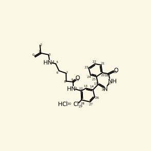 C=C(C)CNCCCCC(=O)Nc1cc(-c2n[nH]c(=O)c3ccccc23)ccc1Cl.Cl